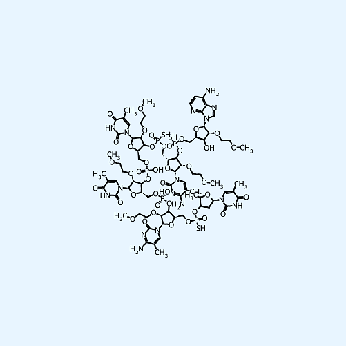 COCCO[C@H]1C(OP(=O)(O)OC[C@H]2O[C@@H](n3cc(C)c(=O)[nH]c3=O)[C@@H](OCCOC)C2OP(=O)(O)OC[C@H]2O[C@@H](n3cc(C)c(=O)[nH]c3=O)[C@@H](OCCOC)C2OP(=O)(S)OC[C@H]2O[C@@H](n3cc(C)c(N)nc3=O)[C@@H](OCCOC)C2OP(=O)(S)OC[C@H]2O[C@@H](n3cnc4c(N)ccnc43)[C@@H](OCCOC)C2O)[C@@H](COP(=O)(S)OC2C[C@H](n3cc(C)c(=O)[nH]c3=O)O[C@@H]2C)O[C@H]1n1cc(C)c(N)nc1=O